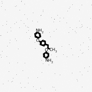 CC(Cc1ccc(Oc2ccc(N)cc2)cc1)Oc1ccc(N)cc1